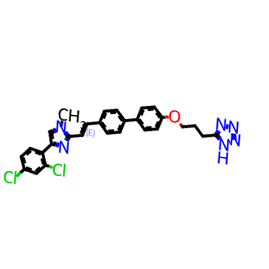 Cn1cc(-c2ccc(Cl)cc2Cl)nc1/C=C/c1ccc(-c2ccc(OCCCc3nnn[nH]3)cc2)cc1